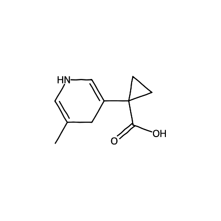 CC1=CNC=C(C2(C(=O)O)CC2)C1